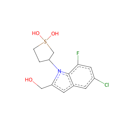 OCc1cc2cc(Cl)cc(F)c2n1C1CCS(O)(O)C1